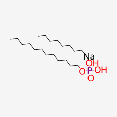 CCCCCCCCCCCCOP(=O)(O)O.CCCCCCC[CH2][Na]